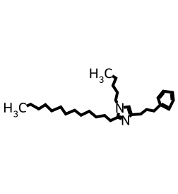 CCCCCCCCCCCCCc1nc(CCCc2ccccc2)cn1CCCCC